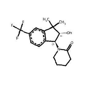 CC1(C)c2cc(C(F)(F)F)ccc2[C@H](N2CCCCC2=O)[C@H]1O